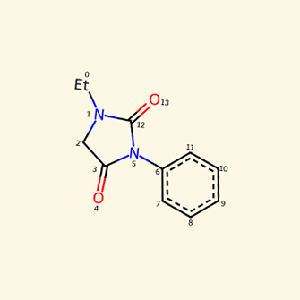 CCN1CC(=O)N(c2ccccc2)C1=O